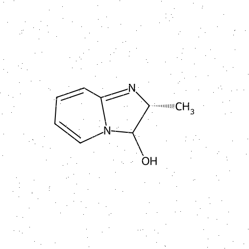 C[C@H]1N=C2C=CC=CN2C1O